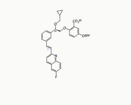 COc1ccc(OC[C@H](OCC2CC2)c2cccc(/C=C/c3ccc4cc(F)ccc4n3)c2)c(C(=O)O)c1